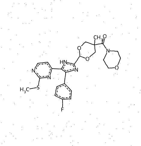 CSc1nccc(-c2[nH]c(C3OCC(C)(C(=O)N4CCOCC4)CO3)nc2-c2ccc(F)cc2)n1